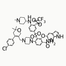 CN1CCC(Nc2ccc(S(=O)(=O)c3c(N4CCN(CC5=C(c6ccc(Cl)cc6)CC(C)(C)OC5)CC4)ccc(C(N)=O)c3Oc3cnc4[nH]ccc4c3)cc2S(=O)(=O)C(F)(F)F)CC1